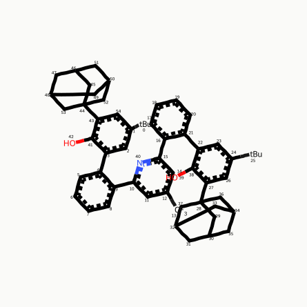 CC(C)(C)c1cc(-c2ccccc2-c2cc(C(F)(F)F)cc(-c3ccccc3-c3cc(C(C)(C)C)cc(C45CC6CC(CC(C6)C4)C5)c3O)n2)c(O)c(C23CC4CC(CC(C4)C2)C3)c1